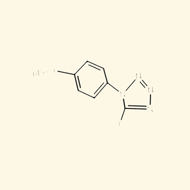 [CH2]CCCCc1ccc(-n2nnnc2CCC)cc1